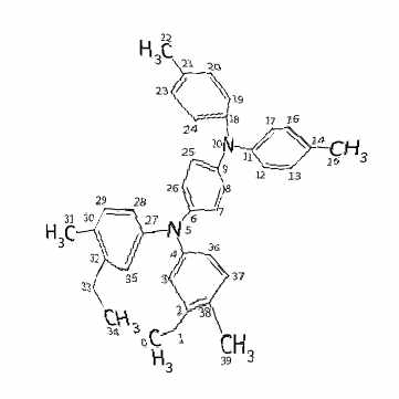 CCc1cc(N(c2ccc(N(c3ccc(C)cc3)c3ccc(C)cc3)cc2)c2ccc(C)c(CC)c2)ccc1C